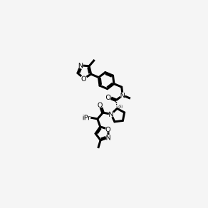 Cc1cc(C(C(=O)N2CCC[C@H]2C(=O)N(C)Cc2ccc(-c3ocnc3C)cc2)C(C)C)on1